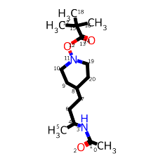 CC(=O)NC(C)CCC1CCN(OC(=O)C(C)(C)C)CC1